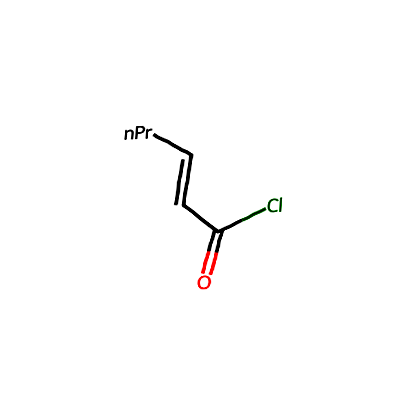 CCCC=CC(=O)Cl